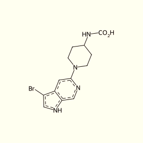 O=C(O)NC1CCN(c2cc3c(Br)c[nH]c3cn2)CC1